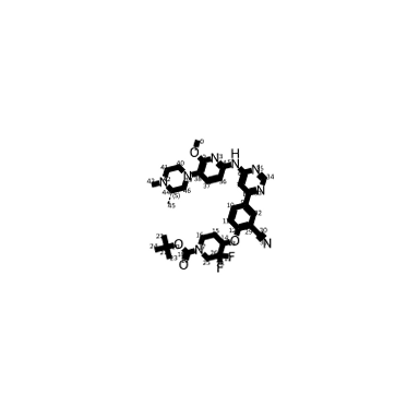 COc1nc(Nc2cc(-c3ccc(OC4CCN(C(=O)OC(C)(C)C)CC4(F)F)c(C#N)c3)ncn2)ccc1N1CCN(C)[C@@H](C)C1